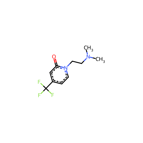 CN(C)CCn1ccc(C(F)(F)F)cc1=O